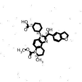 COC(=O)N1c2ccc3c(nc([C@@H](O)c4ccc5c(c4)CCO5)n3[C@@H]3CCC[C@@H](C(=O)O)C3)c2CC[C@@H]1C